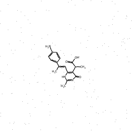 C/C(=C\c1[nH]c(C)nc(=O)c1C(C)C(=O)O)c1ccc(N)cc1